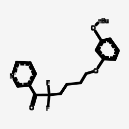 CCCCOc1cccc(OCCCCC(F)(F)C(=O)c2cccnc2)c1